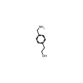 NCc1ccc(CCO)cc1